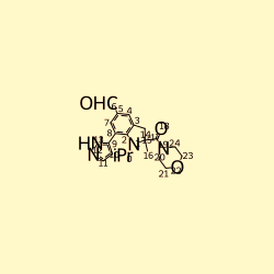 CC(C)N1c2c(cc(C=O)cc2-c2ccn[nH]2)CC1(C)C(=O)N1CCOCC1